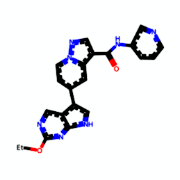 CCOc1ncc2c(-c3ccn4ncc(C(=O)Nc5cccnc5)c4c3)c[nH]c2n1